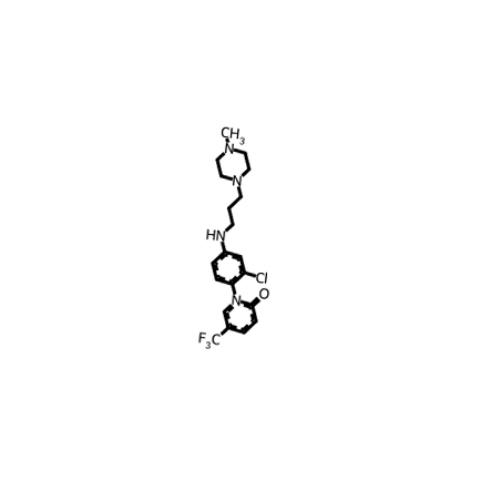 CN1CCN(CCCNc2ccc(-n3cc(C(F)(F)F)ccc3=O)c(Cl)c2)CC1